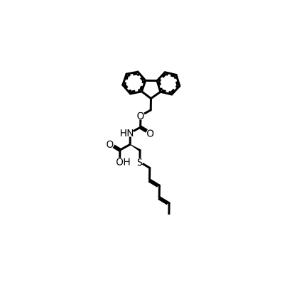 C/C=C/C=C/CSC[C@H](NC(=O)OCC1c2ccccc2-c2ccccc21)C(=O)O